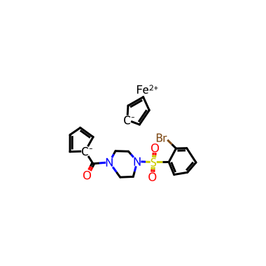 O=C([c-]1cccc1)N1CCN(S(=O)(=O)c2ccccc2Br)CC1.[Fe+2].c1cc[cH-]c1